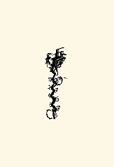 [O-][S+](CCCCCCCl)CCCC(F)(F)C(F)(F)F